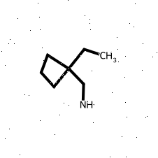 CCC1(C[NH])CCC1